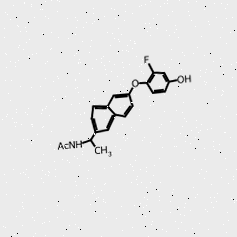 CC(=O)NC(C)c1ccc2cc(Oc3ccc(O)cc3F)ccc2c1